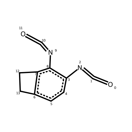 O=C=Nc1ccc2c(c1N=C=O)CC2